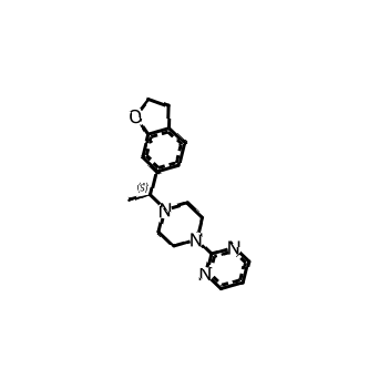 C[C@@H](c1ccc2c(c1)OCC2)N1CCN(c2ncccn2)CC1